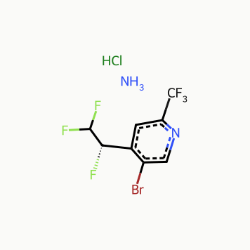 Cl.FC(F)[C@@H](F)c1cc(C(F)(F)F)ncc1Br.N